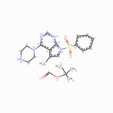 CC(C)(C)OC=O.Cc1cn(S(=O)(=O)c2ccccc2)c2ncnc(N3CCNCC3)c12